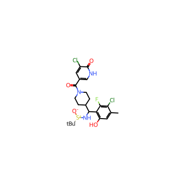 Cc1cc(O)c(C(N[S@@+]([O-])C(C)(C)C)C2CCN(C(=O)c3c[nH]c(=O)c(Cl)c3)CC2)c(F)c1Cl